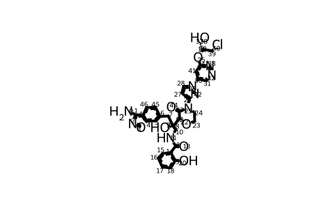 Nc1noc2cc(C[C@@](O)(CNC(=O)c3ccccc3O)[C@H]3OCCN(c4ccn(-c5cnnc(O[C@H](CO)CCl)c5)n4)C3=O)ccc12